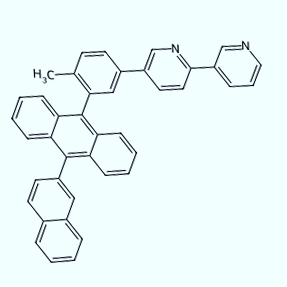 Cc1ccc(-c2ccc(-c3cccnc3)nc2)cc1-c1c2ccccc2c(-c2ccc3ccccc3c2)c2ccccc12